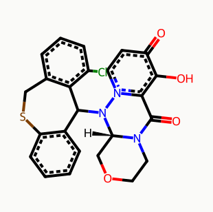 O=C1c2c(O)c(=O)ccn2N(C2c3ccccc3SCc3cccc(Cl)c32)[C@H]2COCCN12